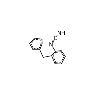 N=C=Nc1ccccc1Cc1ccccc1